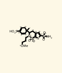 COCCCN1C(C2(C)C=CC(S(=O)(=O)O)=CC2)Cc2cc(S(N)(=O)=O)sc2S1(=O)=O